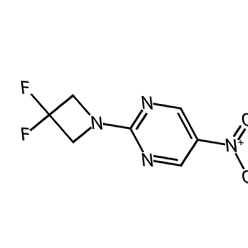 O=[N+]([O-])c1cnc(N2CC(F)(F)C2)nc1